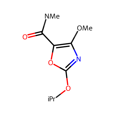 CNC(=O)c1oc(OC(C)C)nc1OC